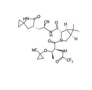 C[C@@H](OC1(C#N)CC1)[C@H](NC(=O)C(F)(F)F)C(=O)N1C[C@H]2[C@@H]([C@H]1C(=O)N[C@H](C#N)C[C@@H]1CC3(CC3)NC1=O)C2(C)C